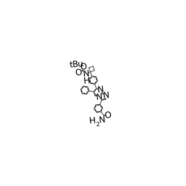 CC(C)(C)OC(=O)NC1(c2ccc(-c3nc4ncc(-c5cccc(C(N)=O)c5)n4cc3-c3ccccc3)cc2)CCC1